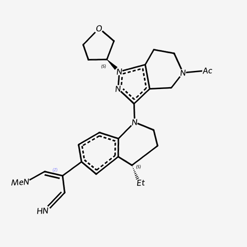 CC[C@H]1CCN(c2nn([C@H]3CCOC3)c3c2CN(C(C)=O)CC3)c2ccc(/C(C=N)=C/NC)cc21